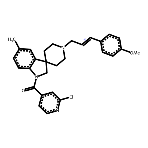 COc1ccc(/C=C/CN2CCC3(CC2)CN(C(=O)c2ccnc(Cl)c2)c2ccc(C)cc23)cc1